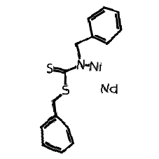 S=C(SCc1ccccc1)[N]([Ni])Cc1ccccc1.[Nd]